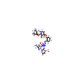 COc1cccc(-n2nc(C(C)(C)C)cc2NC(=O)NCc2ccccc2COc2cc(C)n(Cc3ccccc3)c(=O)c2Br)c1